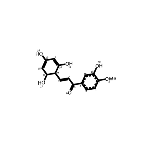 COc1ccc(C(=O)C=CC2C(O)=CC(O)=CC2O)cc1O